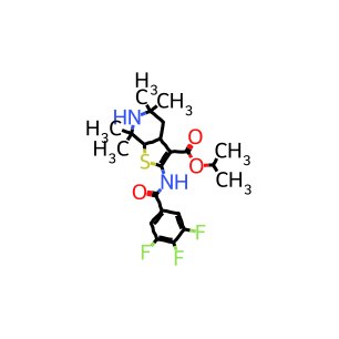 CC(C)OC(=O)C1=C(NC(=O)c2cc(F)c(F)c(F)c2)SC2C1CC(C)(C)NC2(C)C